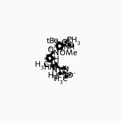 COc1c(NC(=O)c2ccc(C)c(N3C=C(c4cnc([S+](C)[O-])n4C)NN3)c2)cc(C(C)(C)C)cc1NS(C)(=O)=O